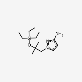 CC[Si](CC)(CC)OC(C)(C)Cn1ccc(N)n1